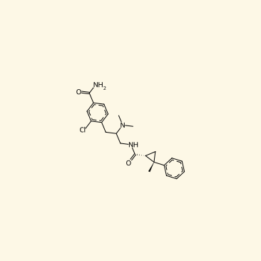 CN(C)C(CNC(=O)[C@@H]1C[C@]1(C)c1ccccc1)Cc1ccc(C(N)=O)cc1Cl